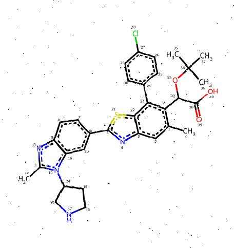 Cc1cc2nc(-c3ccc4nc(C)n(C5CCNC5)c4c3)sc2c(-c2ccc(Cl)cc2)c1C(OC(C)(C)C)C(=O)O